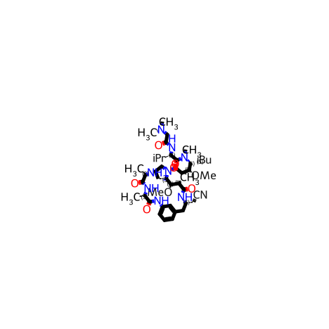 CC[C@H](C)[C@@H]([C@@H](CC(=O)N1CCC[C@H]1[C@H](OC)[C@@H](C)C(=O)N[C@H](CC#N)Cc1cccc(NC(=O)[C@H](C)NC(=O)[C@H](C)N)c1)OC)N(C)C(=O)[C@@H](NC(=O)CN(C)C)C(C)C